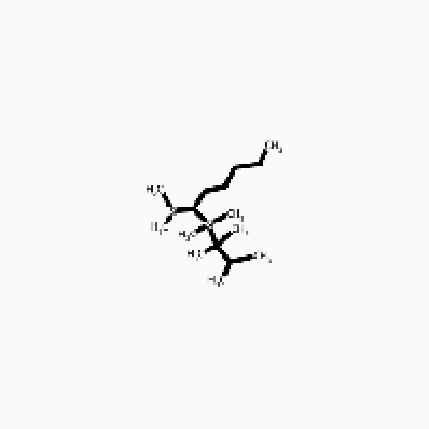 CCCCCC([Si](C)C)[Si](C)(C)C(C)(C)C(C)C